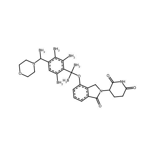 Bc1cc(C(B)N2CCOCC2)c(B)c(B)c1C(B)(B)Oc1cccc2c1CN(C1CCC(=O)NC1=O)C2=O